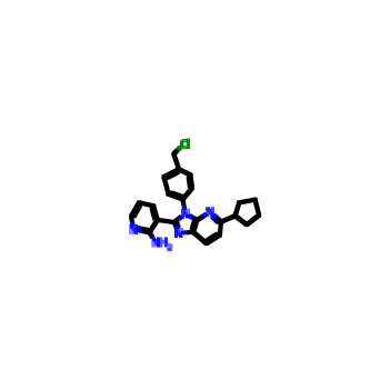 Nc1ncccc1-c1nc2ccc(C3CCCC3)nc2n1-c1ccc(CCl)cc1